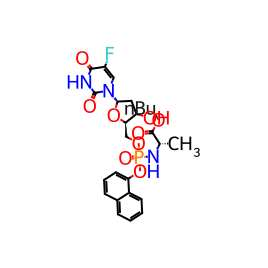 CCCCOC(=O)[C@H](C)NP(=O)(OC[C@H]1O[C@@H](n2cc(F)c(=O)[nH]c2=O)CC1O)Oc1cccc2ccccc12